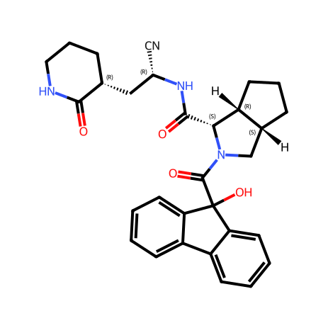 N#C[C@@H](C[C@H]1CCCNC1=O)NC(=O)[C@@H]1[C@@H]2CCC[C@@H]2CN1C(=O)C1(O)c2ccccc2-c2ccccc21